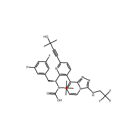 CC(C)(O)C#Cc1ccc(-c2cccn3c(NCC(F)(F)F)nnc23)c([C@H](Cc2cc(F)cc(F)c2)N(C(=O)O)C(C)(C)C)n1